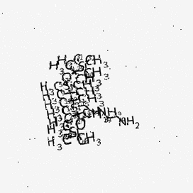 CC(C)(O[Si](C)(C)C(C)(C)C(C)(C)[Si](C)(CCNCCN)C(C)(C)O[Si](C)(C)C)[Si](C)(C)C